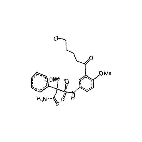 COc1ccc(NS(=O)(=O)C(OC)(C(N)=O)c2ccccc2)cc1C(=O)CCCCCl